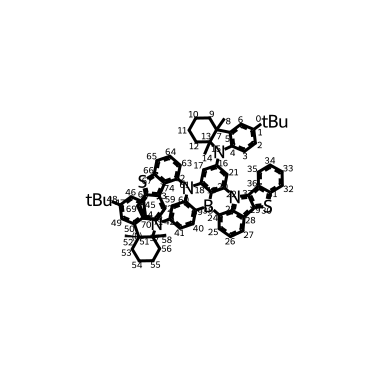 CC(C)(C)c1ccc2c(c1)C1(C)CCCCC1(C)N2c1cc2c3c(c1)-n1c4c(cccc4c4sc5ccccc5c41)B3c1ccc(N3c4ccc(C(C)(C)C)cc4[C@@]4(C)CCCCC34C)cc1N2c1cccc2sc3ccccc3c12